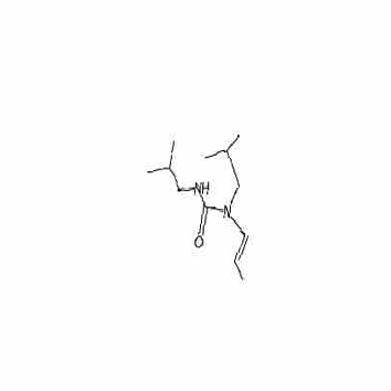 CC=CN(CC(C)C)C(=O)NCC(C)C